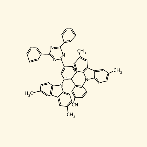 Cc1ccc2c(c1)c1cc(C)ccc1n2-c1ccc(C#N)cc1-c1ccc(-c2nc(-c3ccccc3)nc(-c3ccccc3)n2)cc1-n1c2ccc(C)cc2c2cc(C)ccc21